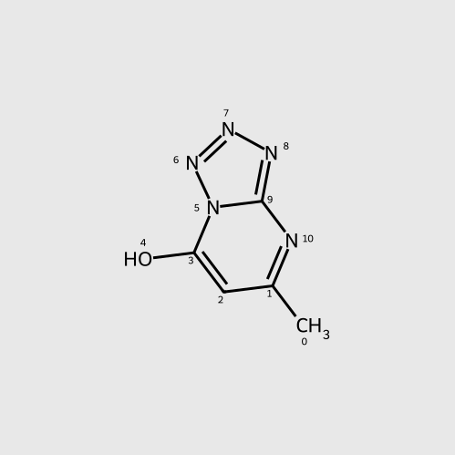 Cc1cc(O)n2nnnc2n1